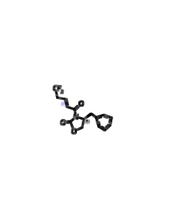 O=C(/C=C/CC(F)(F)F)N1C(=O)OC[C@@H]1Cc1ccccc1